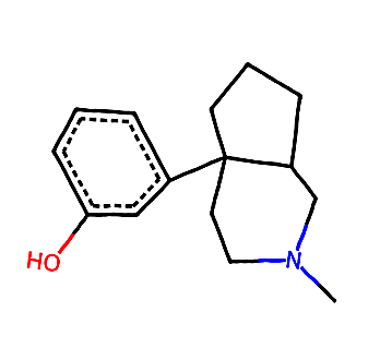 CN1CCC2(c3cccc(O)c3)CCCC2C1